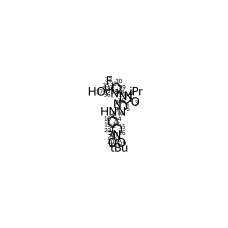 CC(C)n1c(=O)c2cnc(Nc3ccc4c(c3)CCN(C(=O)OC(C)(C)C)C4(C)C)nc2n1-c1ccc(F)c(C(C)(C)O)n1